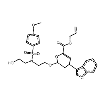 C=CCOC(=O)C1=CC(c2coc3ccccc23)CC(OCCN(CCO)S(=O)(=O)c2ccc(OC)cc2)O1